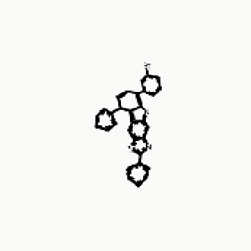 Brc1cccc(C2=C3N=c4cc5nc(-c6ccccc6)sc5cc4=C3C(c3ccccc3)C=C2)c1